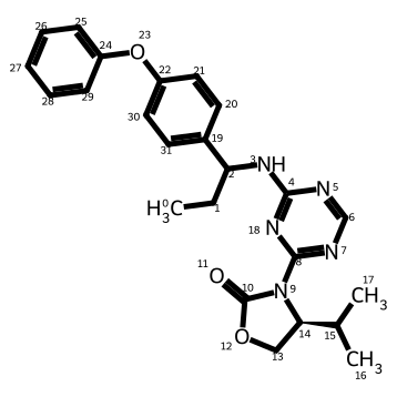 CCC(Nc1ncnc(N2C(=O)OC[C@@H]2C(C)C)n1)c1ccc(Oc2ccccc2)cc1